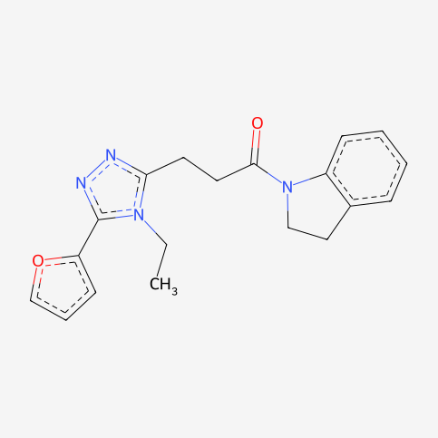 CCn1c(CCC(=O)N2CCc3ccccc32)nnc1-c1ccco1